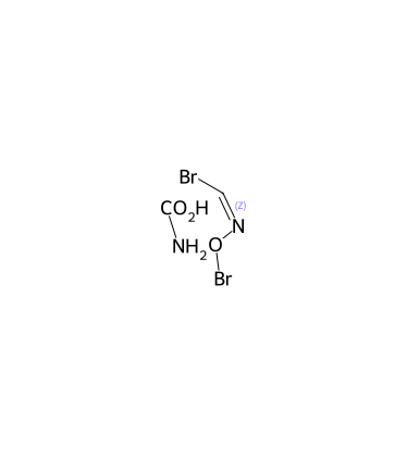 Br/C=N\OBr.NC(=O)O